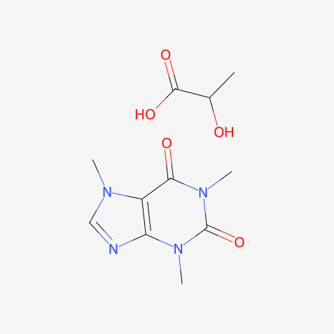 CC(O)C(=O)O.Cn1c(=O)c2c(ncn2C)n(C)c1=O